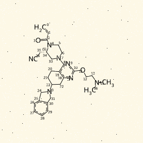 C=CC(=O)N1CCN(c2nc(OCCN(C)C)nc3c2CCC(N2Cc4ccccc4C2)C3)C[C@@H]1CC#N